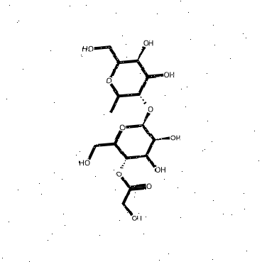 CC1OC(CO)[C@@H](O)C(O)[C@@H]1O[C@@H]1OC(CO)[C@@H](OC(=O)CO)C(O)[C@@H]1O